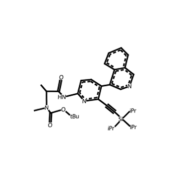 CC(C(=O)Nc1ccc(-c2cncc3ccccc23)c(C#C[Si](C(C)C)(C(C)C)C(C)C)n1)N(C)C(=O)OC(C)(C)C